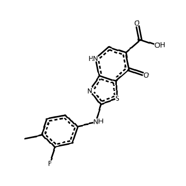 Cc1ccc(Nc2nc3[nH]cc(C(=O)O)c(=O)c3s2)cc1F